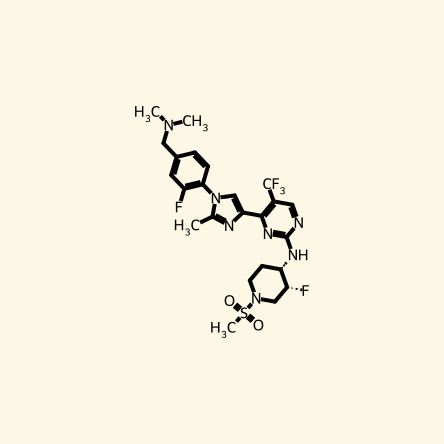 Cc1nc(-c2nc(N[C@H]3CCN(S(C)(=O)=O)C[C@H]3F)ncc2C(F)(F)F)cn1-c1ccc(CN(C)C)cc1F